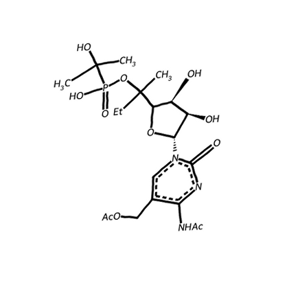 CCC(C)(OP(=O)(O)C(C)(C)O)C1O[C@@H](n2cc(COC(C)=O)c(NC(C)=O)nc2=O)[C@H](O)[C@@H]1O